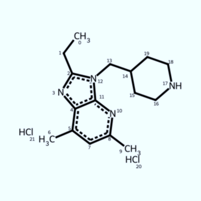 CCc1nc2c(C)cc(C)nc2n1CC1CCNCC1.Cl.Cl